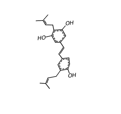 CC(C)=CCc1cc(/C=C/c2cc(O)c(CC=C(C)C)c(O)c2)ccc1O